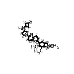 Cc1c(O)c(-c2ccc3nc(N4CCC(N[C@H]5C[C@H](F)C5)C4)ccc3n2)cc2cn(C)nc12